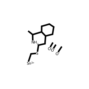 CC(N)C1CCCCC1CCS[CH2][Sn+3].C[O-].C[O-].C[O-]